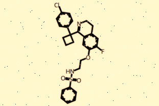 O=S(=O)(NCCOc1cc2c(cc1F)CCN=C2C1(c2ccc(Cl)cc2)CCC1)c1ccccc1